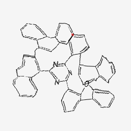 c1ccc(-c2cccc3ccccc23)c(-c2nc(-c3c(-c4cc5ccccc5c5ccccc45)ccc4ccccc34)nc(-c3cccc4c3oc3ccccc34)n2)c1